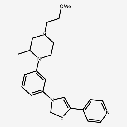 COCCN1CCN(c2ccnc(N3C=C(c4ccncc4)SC3)c2)C(C)C1